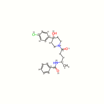 CC(CCC(=O)N1CCC(O)(c2ccc(Cl)cc2)CC1)NC(=O)c1ccccc1